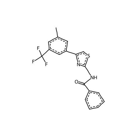 Cc1cc(-c2csc(NC(=O)c3ccccc3)n2)cc(C(F)(F)F)c1